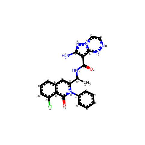 C[C@H](NC(=O)c1c(N)nn2ccnnc12)c1cc2cccc(Cl)c2c(=O)n1-c1ccccc1